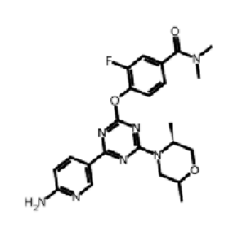 CC1CN(c2nc(Oc3ccc(C(=O)N(C)C)cc3F)nc(-c3ccc(N)nc3)n2)[C@@H](C)CO1